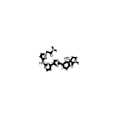 CN(C)C(=O)Cn1ccc(Nc2nccc(-c3csc(-c4cccc([C@]5(O)CCN(C)C5=O)c4)n3)n2)n1